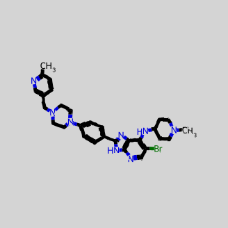 Cc1ccc(CN2CCN(c3ccc(-c4nc5c(NC6CCN(C)CC6)c(Br)cnc5[nH]4)cc3)CC2)cn1